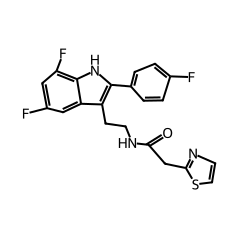 O=C(Cc1nccs1)NCCc1c(-c2ccc(F)cc2)[nH]c2c(F)cc(F)cc12